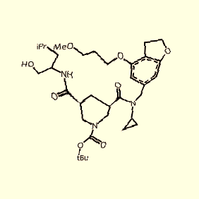 COCCCOc1cc(CN(C(=O)[C@@H]2C[C@H](C(=O)NC(CO)CC(C)C)CN(C(=O)OC(C)(C)C)C2)C2CC2)cc2c1CCO2